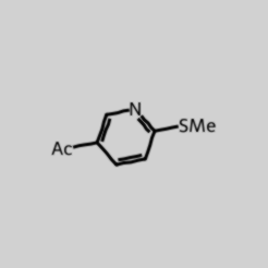 CSc1ccc(C(C)=O)cn1